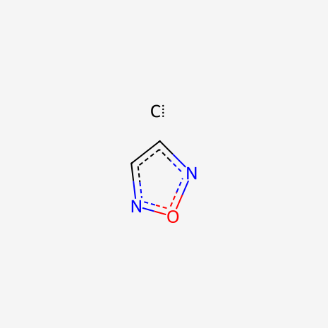 [C].c1cnon1